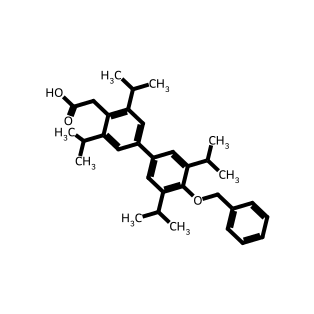 CC(C)c1cc(-c2cc(C(C)C)c(OCc3ccccc3)c(C(C)C)c2)cc(C(C)C)c1CC(=O)O